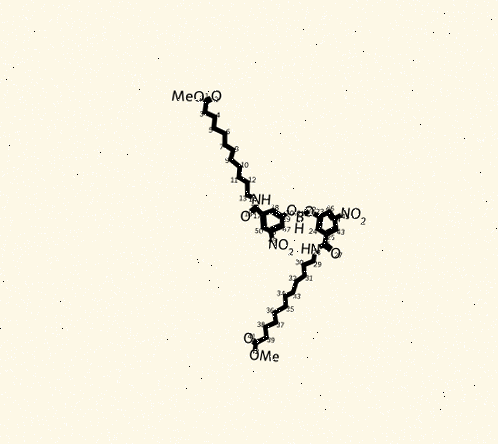 COC(=O)CCCCCCCCCCCNC(=O)c1cc(OBOc2cc(C(=O)NCCCCCCCCCCCC(=O)OC)cc([N+](=O)[O-])c2)cc([N+](=O)[O-])c1